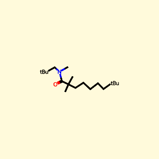 CN(CC(C)(C)C)C(=O)C(C)(C)CCCCCC(C)(C)C